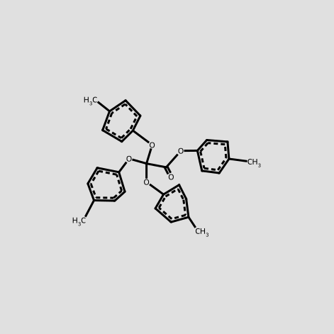 Cc1ccc(OC(=O)C(Oc2ccc(C)cc2)(Oc2ccc(C)cc2)Oc2ccc(C)cc2)cc1